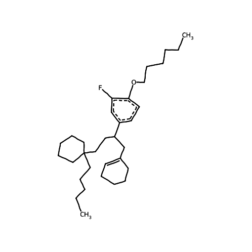 CCCCCCOc1ccc(C(CCC2(CCCCC)CCCCC2)CC2=CCCCC2)cc1F